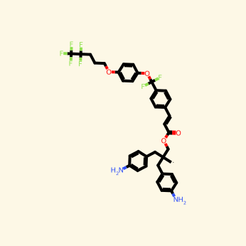 [CH2]C(COC(=O)/C=C/c1ccc(C(F)(F)Oc2ccc(OCCCC(F)(F)C(F)(F)F)cc2)cc1)(Cc1ccc(N)cc1)Cc1ccc(N)cc1